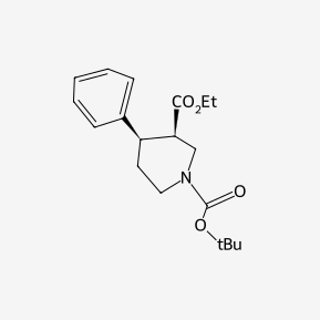 CCOC(=O)[C@H]1CN(C(=O)OC(C)(C)C)CC[C@H]1c1ccccc1